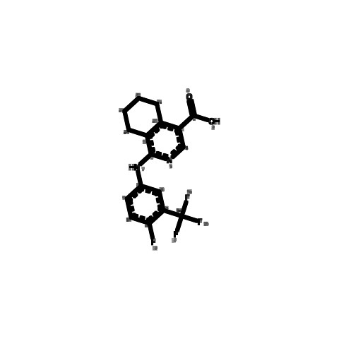 O=C(O)c1cnc(Nc2ccc(F)c(C(F)(F)F)c2)c2c1CCCC2